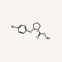 CC(C)(C)OC(=O)[C@@H]1CCCN1Sc1ccc(Br)cc1